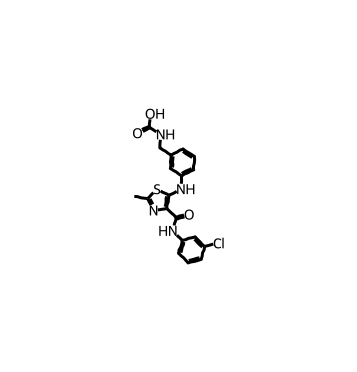 Cc1nc(C(=O)Nc2cccc(Cl)c2)c(Nc2cccc(CNC(=O)O)c2)s1